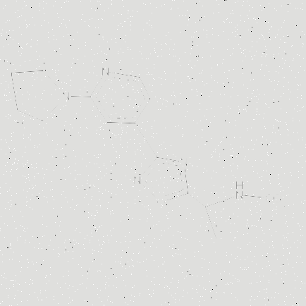 CC(NC(=O)O)c1nc(-c2ccnc(N3CCCC3)c2)no1